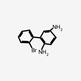 Nc1ccc(N)c(-c2ccccc2Br)c1